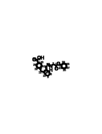 O=C(CN/N=C\C1C2CCC(O2)C1Cc1ccc(C(=O)O)cc1)Oc1ccccc1